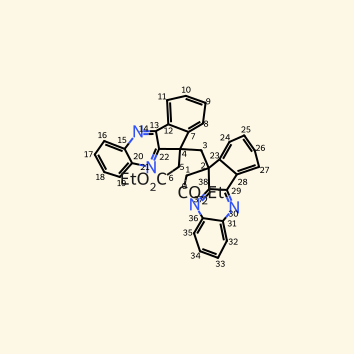 CCOC(=O)CC1(CC2(CC(=O)OCC)c3ccccc3-c3nc4ccccc4nc32)c2ccccc2-c2nc3ccccc3nc21